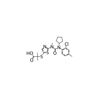 Cc1ccc(N(C(=O)N(C)c2ncc(SC(C)(C)C(=O)O)s2)C2CCCC2)c(Cl)c1